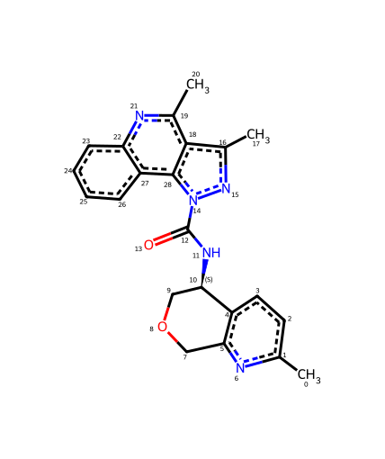 Cc1ccc2c(n1)COC[C@H]2NC(=O)n1nc(C)c2c(C)nc3ccccc3c21